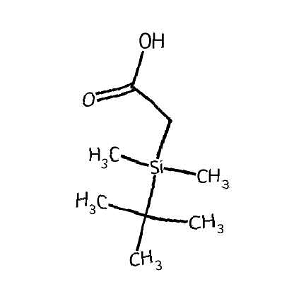 CC(C)(C)[Si](C)(C)CC(=O)O